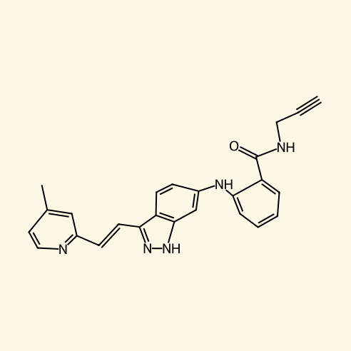 C#CCNC(=O)c1ccccc1Nc1ccc2c(C=Cc3cc(C)ccn3)n[nH]c2c1